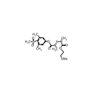 CSCCOC(=O)N(C)SN(C)C(=O)Oc1cc(C)c(S(C)(=O)=O)c(C)c1